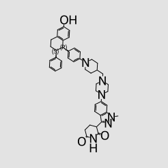 Cn1nc(C2CCC(=O)NC2=O)c2ccc(N3CCN(CC4CCN(c5ccc([C@@H]6c7ccc(O)cc7CC[C@@H]6c6ccccc6)cc5)CC4)CC3)cc21